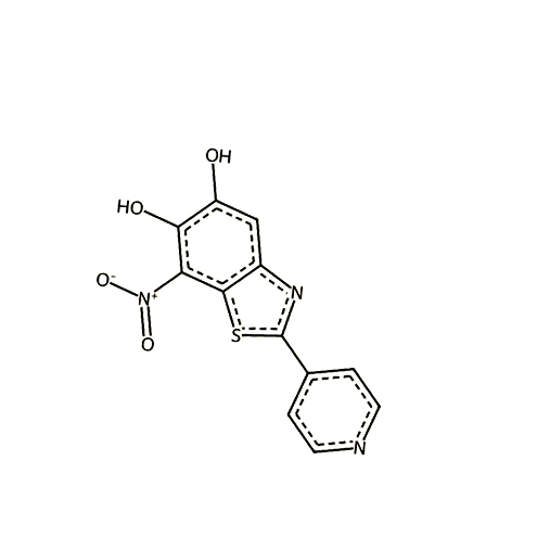 O=[N+]([O-])c1c(O)c(O)cc2nc(-c3ccncc3)sc12